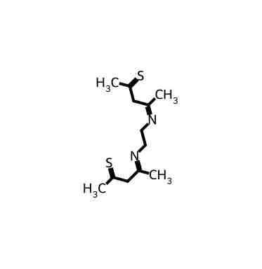 CC(=S)CC(C)=NCCN=C(C)CC(C)=S